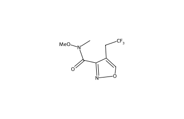 CON(C)C(=O)c1nocc1CC(F)(F)F